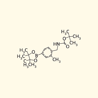 Cc1cc(B2OC(C)(C)C(C)(C)O2)ccc1CNC(=O)OC(C)(C)C